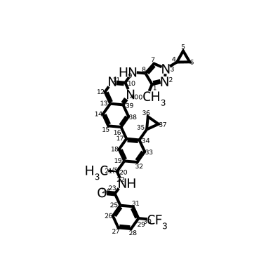 Cc1nn(C2CC2)cc1Nc1ncc2ccc(-c3cc([C@H](C)NC(=O)c4cccc(C(F)(F)F)c4)ccc3C3CC3)cc2n1